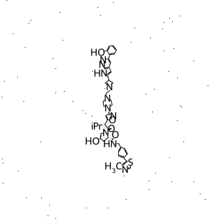 Cc1ncsc1-c1ccc(CNC(=O)[C@@H]2C[C@@H](O)CN2C(=O)[C@@H](c2cc(N3CCN(CCN4CC(c5cc6cc(-c7ccccc7O)nnc6[nH]5)C4)CC3)no2)C(C)C)cc1